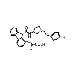 O=C(O)C(=O)Oc1cccc2c1[C@@H](C(=O)NC1CCN(CCc3ccc(F)cc3)C1)c1ccccc1-2